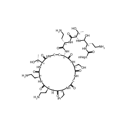 CCCCCCCC(=O)N[C@@H](CCN)C(O)N[C@H](C(=O)N[C@@H](CCN)C(=O)N[C@H]1CCNC(=O)[C@H]([C@@H](C)O)NC(=O)[C@H](CCN)NC(=O)[C@H](CCN)NC(=O)[C@H](CC(C)C)NC(=O)CNC(=O)[C@H](CO)NC1=O)[C@@H](C)O